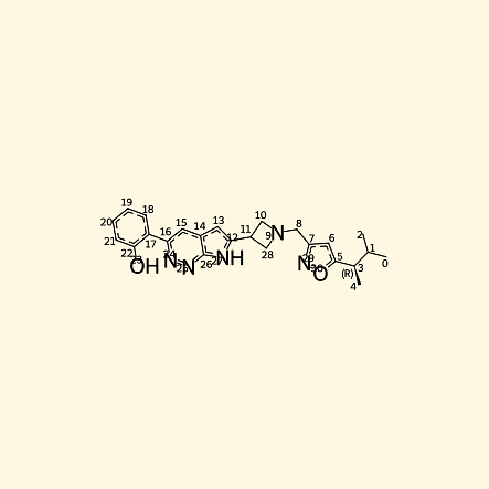 CC(C)[C@@H](C)c1cc(CN2CC(c3cc4cc(-c5ccccc5O)nnc4[nH]3)C2)no1